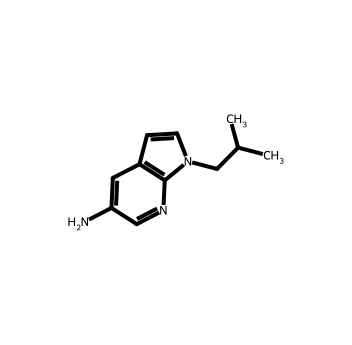 CC(C)Cn1ccc2cc(N)cnc21